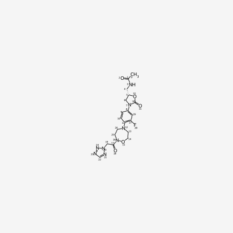 CC(=O)NC[C@H]1CN(c2ccc(N3CCON(C(=O)Cn4ncnn4)CC3)c(F)c2)C(=O)O1